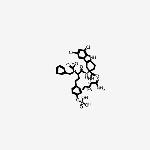 CC[C@H](C)[C@H](NC(=O)[C@@]1(NC(=O)C(CCc2ccc(OP(=O)(O)O)cc2)N(Cc2ccccc2)C(=O)O)CCc2[nH]c3c(Cl)cc(Cl)cc3c2C1)C(N)=S